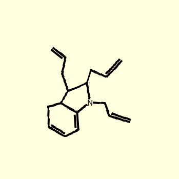 C=CC[C]1C(CC=C)C2CC=CC=C2N1CC=C